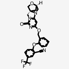 N#Cc1cc(C(F)(F)F)ccc1Oc1ccccc1COc1cc2n(c(=O)n1)C[C@@]13CO[C@@H](CN21)C3